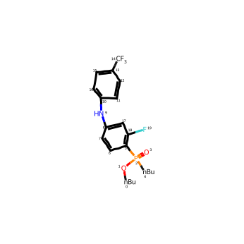 CCCCOP(=O)(CCCC)c1ccc(Nc2ccc(C(F)(F)F)cc2)cc1F